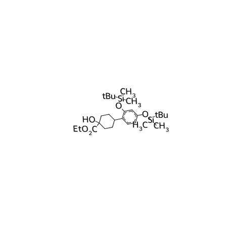 CCOC(=O)C1(O)CCC(c2ccc(O[Si](C)(C)C(C)(C)C)cc2O[Si](C)(C)C(C)(C)C)CC1